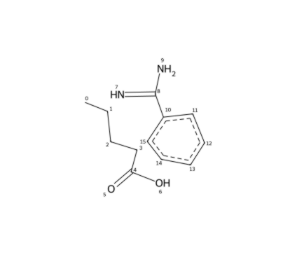 CCCCC(=O)O.N=C(N)c1ccccc1